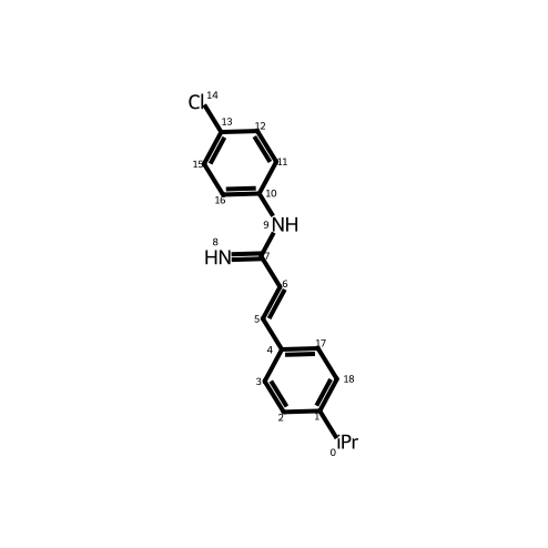 CC(C)c1ccc(/C=C/C(=N)Nc2ccc(Cl)cc2)cc1